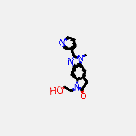 Cn1c(-c2cccnc2)nc2cc3c(cc21)CC(=O)N3CCO